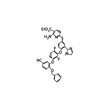 CCOC(=O)c1cnc(Sc2ccc(Oc3c(F)cnc(Oc4cc(C#N)ccc4OCc4ccccc4)c3F)c(C3N=CCN3C)c2)nc1N